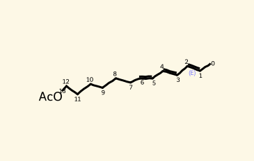 C/C=C/C=CC=CCCCCCCOC(C)=O